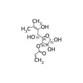 C=CC(=O)O[C@@H]1[C@@H](O)[C@@H](O)O[C@@H]1[C@H](O)C(O)=C(C)C